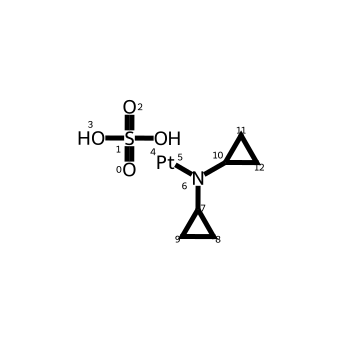 O=S(=O)(O)O.[Pt][N](C1CC1)C1CC1